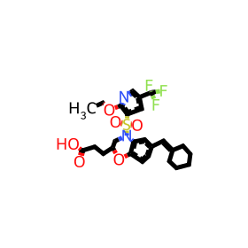 CCOc1ncc(C(F)(F)F)cc1S(=O)(=O)N1CC(CCC(=O)O)Oc2ccc(C=C3CCCCC3)cc21